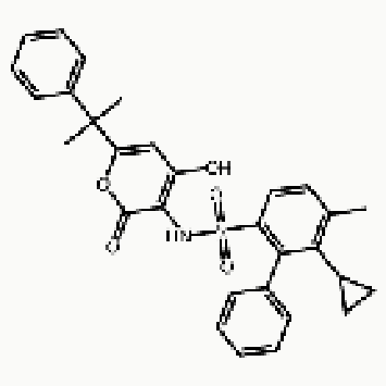 Cc1ccc(S(=O)(=O)Nc2c(O)cc(C(C)(C)c3ccccc3)oc2=O)c(-c2ccccc2)c1C1CC1